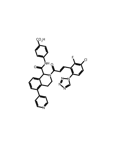 O=C(O)c1ccc(NC(=O)C2c3cccc(-c4ccncc4)c3CCN2C(=O)C=Cc2c(-n3cnnn3)ccc(Cl)c2F)cc1